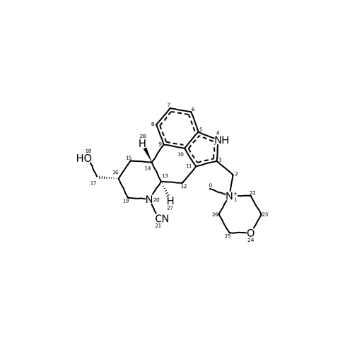 C[N+]1(Cc2[nH]c3cccc4c3c2C[C@@H]2[C@@H]4C[C@@H](CO)CN2C#N)CCOCC1